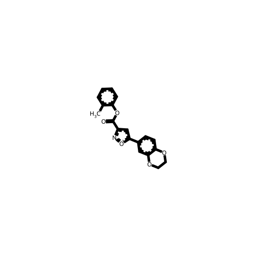 Cc1ccccc1OC(=O)c1cc(-c2ccc3c(c2)OCCO3)on1